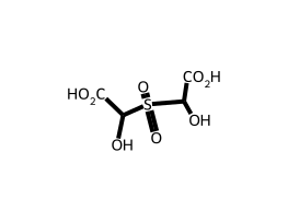 O=C(O)C(O)S(=O)(=O)C(O)C(=O)O